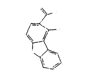 Nc1c(C(=O)O)ccc2sc3ccccc3c12